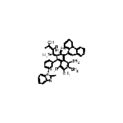 B=c1c(-c2cc3ccccc3c3ccccc23)c2c(B)c(B)c(B)c(B)c2c(-c2cccc(-n3c(C)nc4ccccc43)c2)/c1=C(B)/C(B)=C(\C)O